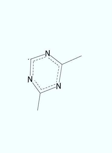 Cc1n[c]nc(C)n1